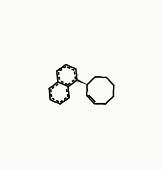 C1=C[C@@H](c2cccc3ccccc23)CCCCC1